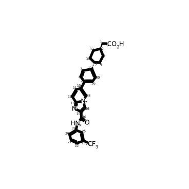 O=C(O)C[C@H]1CC[C@H](c2ccc(-c3ccc4nc(C(=O)Nc5cccc(C(F)(F)F)c5)cn4c3)cc2)CC1